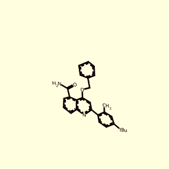 Cc1cc(C(C)(C)C)ccc1-c1cc(OCc2ccccc2)c2c(C(N)=O)cccc2n1